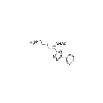 CC(=O)N[C@@H](CCCCN)c1nnc(-c2ccccc2)s1